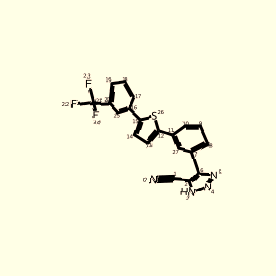 N#Cc1[nH]nnc1-c1cccc(-c2ccc(-c3cccc(C(F)(F)F)c3)s2)c1